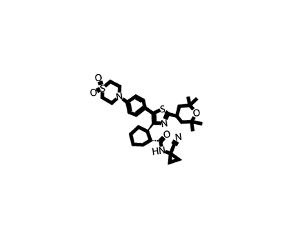 CC1(C)CC(c2nc([C@@H]3CCCC[C@H]3C(=O)NC3(C#N)CC3)c(-c3ccc(N4CCS(=O)(=O)CC4)cc3)s2)CC(C)(C)O1